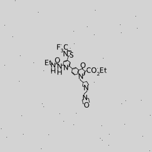 CCNC(=O)Nc1cc(-c2nc(C(F)(F)F)cs2)cc(-c2ccc3c(c2)c(=O)c(C(=O)OCC)cn3CC2CCN(CCN3CCOCC3)C2)n1